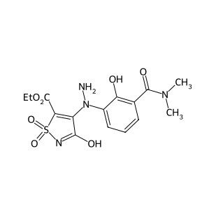 CCOC(=O)C1=C(N(N)c2cccc(C(=O)N(C)C)c2O)C(O)=NS1(=O)=O